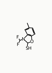 Cc1ccc2c(c1)N(C(F)F)C(S)O2